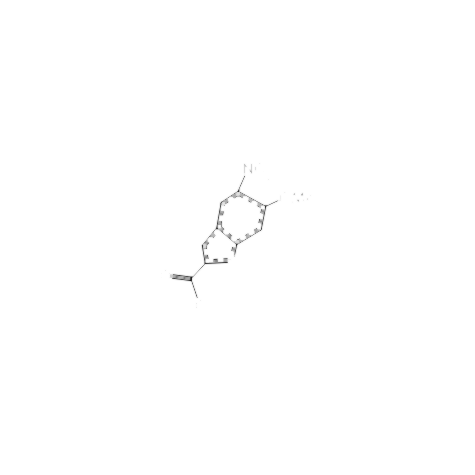 COc1cc2sc(C(=O)Cl)cc2cc1[N+](=O)[O-]